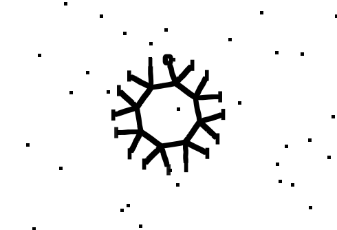 [O]C1(I)C(I)(I)C(I)(I)C(I)(I)C(I)(I)C(I)(I)C(I)(I)C1(I)I